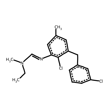 CCN(C)C=Nc1cc(C)cc(Cc2cccc(Cl)c2)c1Cl